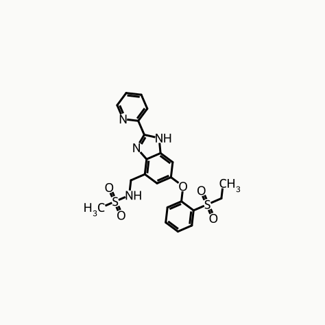 CCS(=O)(=O)c1ccccc1Oc1cc(CNS(C)(=O)=O)c2nc(-c3ccccn3)[nH]c2c1